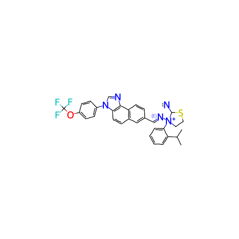 CC(C)c1ccccc1[N+]1(/N=C/c2ccc3c(ccc4c3ncn4-c3ccc(OC(F)(F)F)cc3)c2)CCSC1[N]